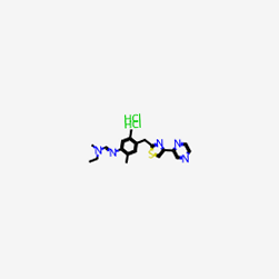 CCN(C)C=Nc1cc(C)c(Cc2nc(-c3cnccn3)cs2)cc1C.Cl.Cl